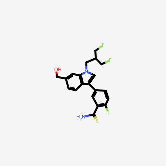 NC(=S)c1cc(-c2cn(CC(CF)CF)c3cc(CO)ccc23)ccc1F